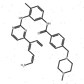 C=C/C(=C\C=C/N)c1ccnc(Nc2cc(NC(=O)c3ccc(CN4CCN(C)CC4)cc3)ccc2C)n1